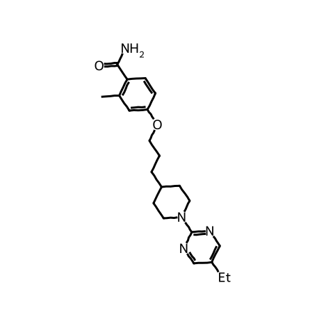 CCc1cnc(N2CCC(CCCOc3ccc(C(N)=O)c(C)c3)CC2)nc1